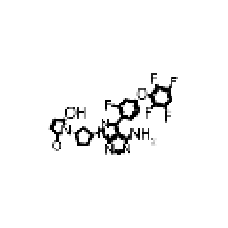 Nc1ncnc2c1c(-c1ccc(Oc3c(F)c(F)cc(F)c3F)cc1F)nn2[C@H]1CC[C@H](N2C(=O)C=CC2O)C1